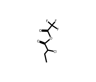 CCC(Cl)C(=O)OC(=O)C(F)(F)F